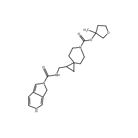 CC1(OC(=O)N2CCC3(CC2)CC3CNC(=O)N2C=C3C=CNC=C3C2)CCOC1